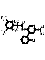 CCN(CC)c1cc(-c2ccccc2Cl)c(NC(=O)C(C)(C)c2cc(C(F)(F)F)cc(C(F)(F)F)c2)cn1